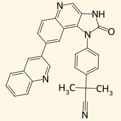 CC(C)(C#N)c1ccc(-n2c(=O)[nH]c3cnc4ccc(-c5cnc6ccccc6c5)cc4c32)cc1